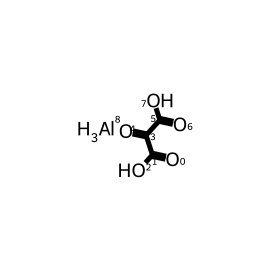 O=C(O)C(=O)C(=O)O.[AlH3]